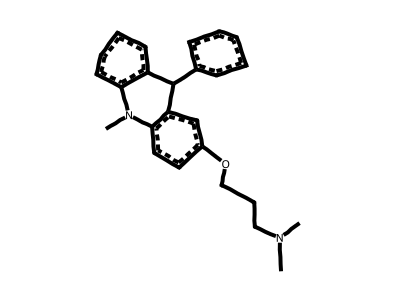 CN(C)CCCOc1ccc2c(c1)C(c1ccccc1)c1ccccc1N2C